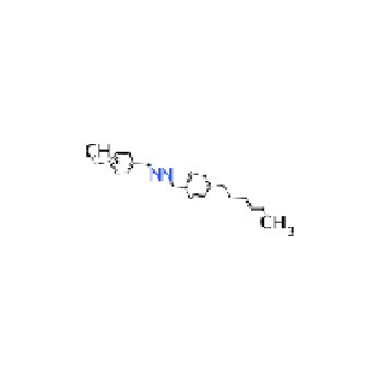 CCC=CCCc1ccc(C=NN=Cc2ccc(CC)cc2)cc1